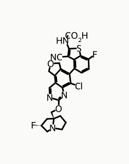 N#Cc1c(NC(=O)O)sc2c(F)ccc(-c3c4c(c5cnc(OC[C@@]67CCCN6C[C@H](F)C7)nc5c3Cl)COC4)c12